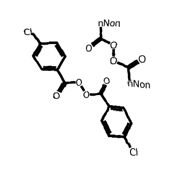 CCCCCCCCCC(=O)OOC(=O)CCCCCCCCC.O=C(OOC(=O)c1ccc(Cl)cc1)c1ccc(Cl)cc1